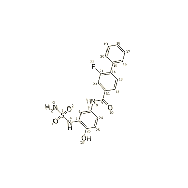 NS(=O)(=O)Nc1cc(NC(=O)c2ccc(-c3ccccc3)c(F)c2)ccc1O